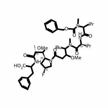 CCC(C)C(C(CC(=O)N1C[C@@H](F)C[C@H]1C(OC)[C@@H](C)C(=O)NC(Cc1ccccc1)C(=O)O)OC)N(C)C(=O)[C@@H](NC(=O)C(C(C)C)N(C)C(=O)OCc1ccccc1)C(C)C